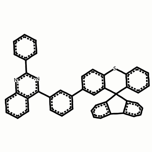 c1ccc(-c2nc(-c3cccc(-c4ccc5c(c4)C4(c6ccccc6S5)c5ccccc5-c5ccccc54)c3)c3ccccc3n2)cc1